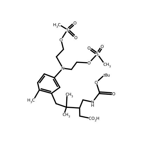 Cc1ccc(N(CCOS(C)(=O)=O)CCOS(C)(=O)=O)cc1CC(C)(C)C(CNC(=O)OC(C)(C)C)CC(=O)O